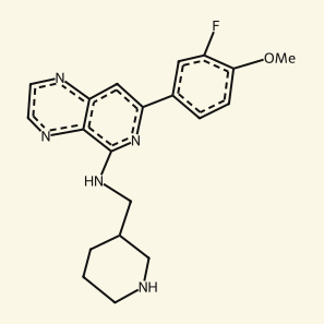 COc1ccc(-c2cc3nccnc3c(NCC3CCCNC3)n2)cc1F